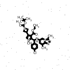 CCOC(=O)c1c(C2CN(C(=O)OC(C)(C)C)C2)cn(C)c1C(Nc1cc(C)c2nnc(C)n2c1)c1ccc(Cl)cc1